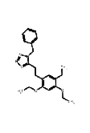 CCOc1cc(OCC)c(CCc2nnnn2Cc2ccccc2)cc1CC